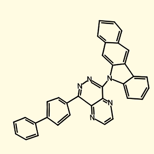 c1ccc(-c2ccc(-c3nnc(-n4c5ccccc5c5cc6ccccc6cc54)c4nccnc34)cc2)cc1